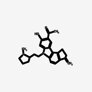 C=C1CCc2c1ccc1c2c2cc(C(C)=O)c(O)cc2n1CCC1CCCN1C